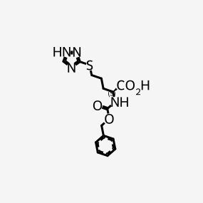 O=C(N[C@@H](CCCSc1nc[nH]n1)C(=O)O)OCc1ccccc1